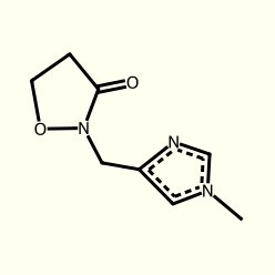 Cn1cnc(CN2OCCC2=O)c1